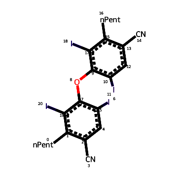 CCCCCc1c(C#N)cc(I)c(Oc2c(I)cc(C#N)c(CCCCC)c2I)c1I